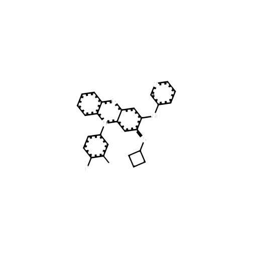 Fc1ccc(-n2c3c/c(=N\C4CCC4)c(Nc4cccnc4)cc-3nc3ccccc32)cc1F